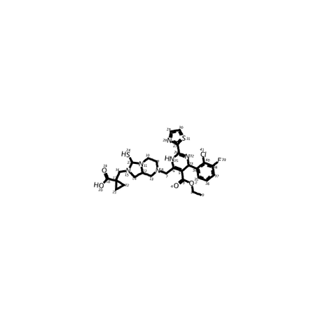 CCOC(=O)C1=C(CN2CCN3C(C2)CN(CC2(C(=O)O)CC2)C3S)NC(c2nccs2)=NC1c1cccc(F)c1Cl